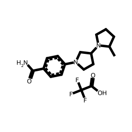 CC1CCCN1C1CCN(c2ccc(C(N)=O)cc2)C1.O=C(O)C(F)(F)F